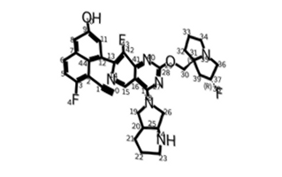 C#Cc1c(F)ccc2cc(O)cc(-c3ncc4c(N5CC6CCCNC6C5)nc(OC[C@@]56CCCN5C[C@H](F)C6)nc4c3F)c12